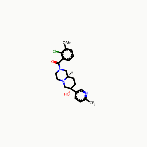 COc1cccc(C(=O)N2CCN3C[C@](O)(c4ccc(C(F)(F)F)nc4)CC[C@@H]3C2)c1Cl